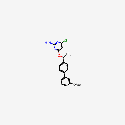 COc1cccc(-c2ccc([C@@H](Oc3cc(Cl)nc(N)n3)C(F)(F)F)cc2)c1